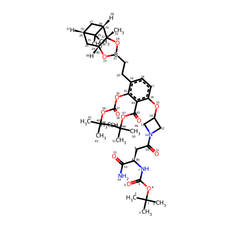 CC(C)(C)OC(=O)N[C@H](CC(=O)N1CC(Oc2ccc(CCB3O[C@@H]4C[C@@H]5C[C@@H](C5(C)C)[C@]4(C)O3)c(OC(=O)OC(C)(C)C)c2C(=O)OC(C)(C)C)C1)C(N)=O